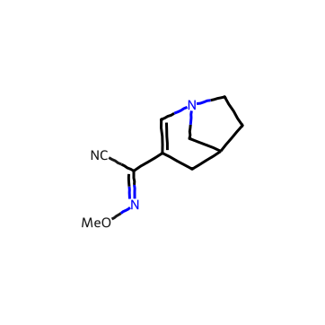 CON=C(C#N)C1=CN2CCC(C1)C2